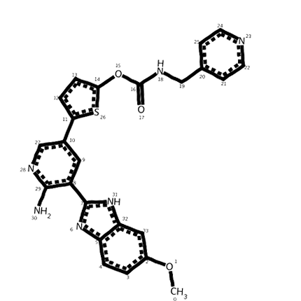 COc1ccc2nc(-c3cc(-c4ccc(OC(=O)NCc5ccncc5)s4)cnc3N)[nH]c2c1